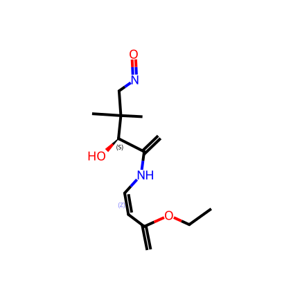 C=C(/C=C\NC(=C)[C@@H](O)C(C)(C)CN=O)OCC